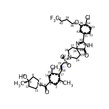 Cc1cc(C(=O)N2CCC(C)(O)CC2)cc(C)c1/C=C/S(=O)(=O)N1CCC2(CC1)N=C(c1ccc(Cl)c(OCCCC(F)(F)F)c1)NC2=O